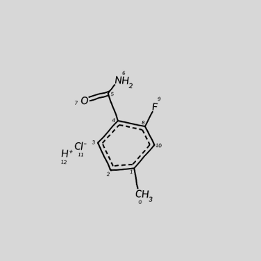 Cc1ccc(C(N)=O)c(F)c1.[Cl-].[H+]